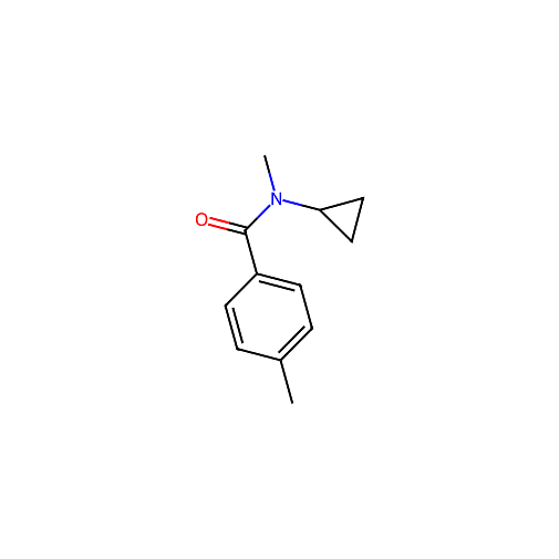 Cc1ccc(C(=O)N(C)C2CC2)cc1